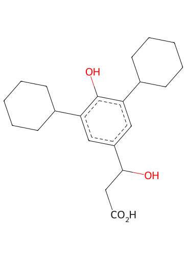 O=C(O)CC(O)c1cc(C2CCCCC2)c(O)c(C2CCCCC2)c1